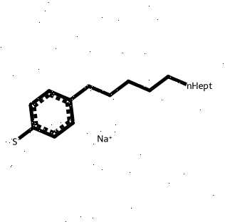 CCCCCCCCCCCCc1ccc([S-])cc1.[Na+]